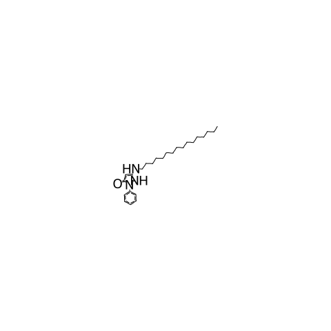 CCCCCCCCCCCCCCCCNc1cc(=O)n(-c2ccccc2)[nH]1